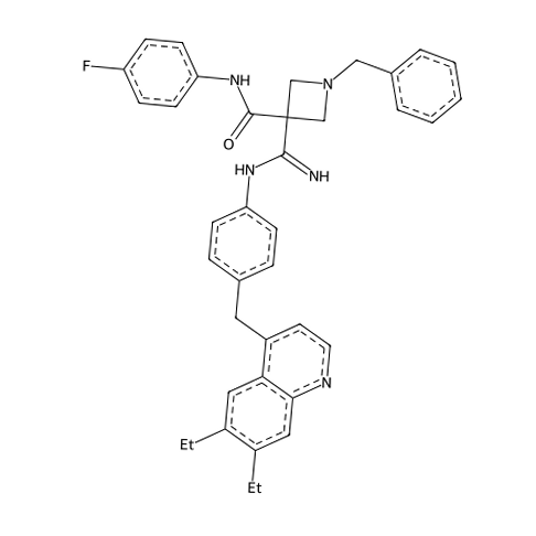 CCc1cc2nccc(Cc3ccc(NC(=N)C4(C(=O)Nc5ccc(F)cc5)CN(Cc5ccccc5)C4)cc3)c2cc1CC